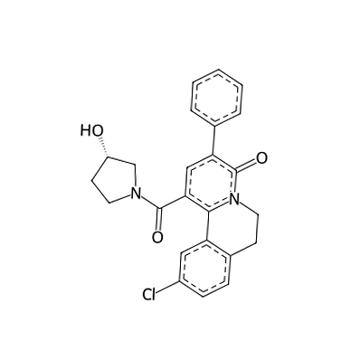 O=C(c1cc(-c2ccccc2)c(=O)n2c1-c1cc(Cl)ccc1CC2)N1CC[C@H](O)C1